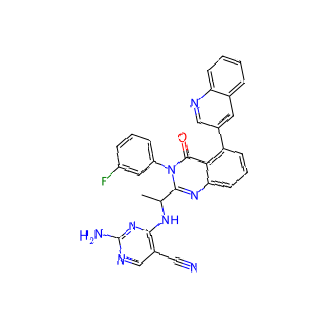 CC(Nc1nc(N)ncc1C#N)c1nc2cccc(-c3cnc4ccccc4c3)c2c(=O)n1-c1cccc(F)c1